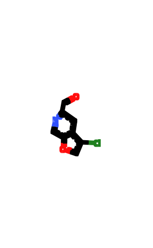 O=Cc1cc2c(Cl)coc2cn1